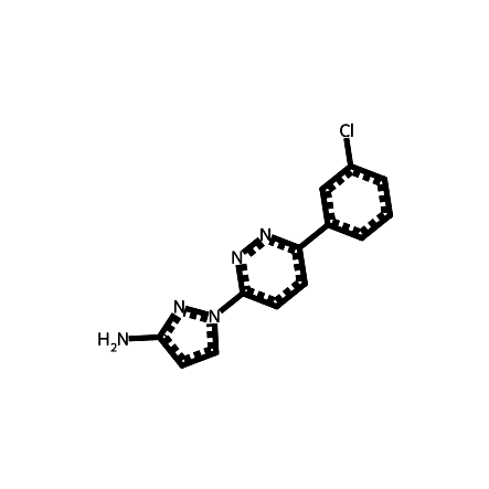 Nc1ccn(-c2ccc(-c3cccc(Cl)c3)nn2)n1